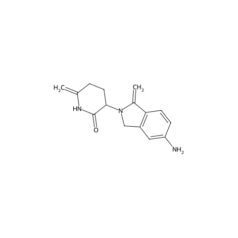 C=C1CCC(N2Cc3cc(N)ccc3C2=C)C(=O)N1